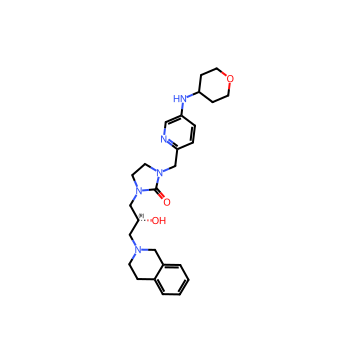 O=C1N(Cc2ccc(NC3CCOCC3)cn2)CCN1C[C@H](O)CN1CCc2ccccc2C1